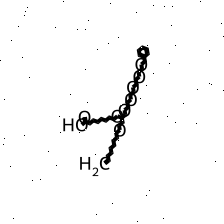 C=CCCCCCCCOCCC(COCCOCCOCCOCCOCC1=CCCC=C1)OCCCCCCCC(=O)O